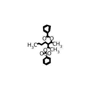 CCCCC(C(C)OC(=O)c1ccccc1)C(C)OS(=O)(=O)c1ccccc1